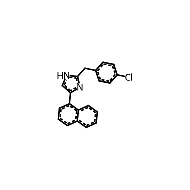 Clc1ccc(Cc2nc(-c3cccc4ccccc34)c[nH]2)cc1